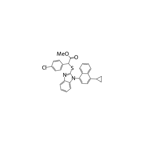 COC(=O)C(Sc1nc2ccccc2n1-c1ccc(C2CC2)c2ccccc12)c1ccc(Cl)cc1